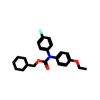 CCOc1ccc(N(C(=O)OCC2CCCCC2)c2ccc(F)cc2)cc1